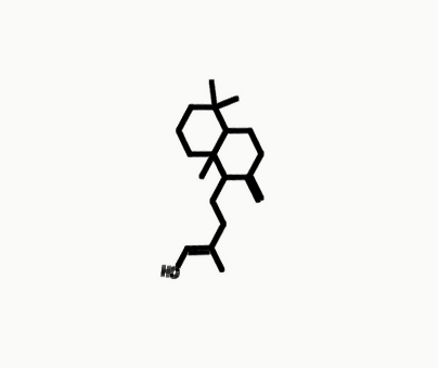 C=C1CCC2C(C)(C)CCCC2(C)C1CCC(C)=CO